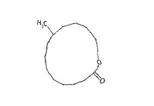 CC1CCCCCCCC(=O)OCCCCC1